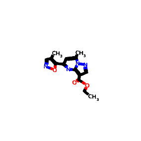 CCOC(=O)c1cnn2c(C)cc(-c3oncc3C)nc12